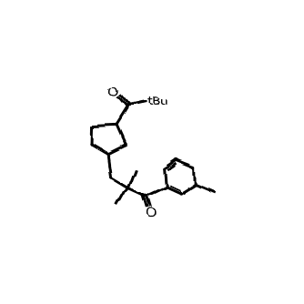 CC1C=C(C(=O)C(C)(C)CC2CCC(C(=O)C(C)(C)C)C2)C=CC1